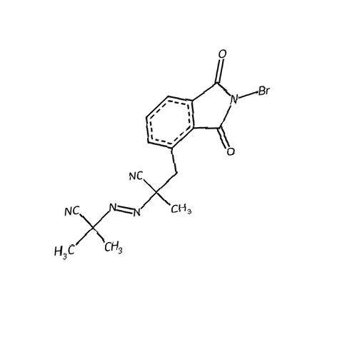 CC(C)(C#N)N=NC(C)(C#N)Cc1cccc2c1C(=O)N(Br)C2=O